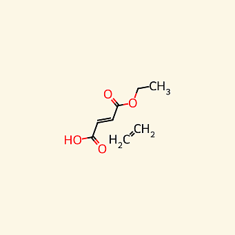 C=C.CCOC(=O)/C=C/C(=O)O